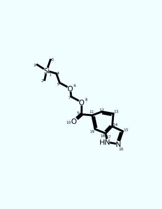 C[Si](C)(C)CCOCOC(=O)c1ccc2cn[nH]c2c1